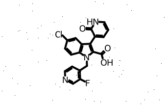 O=C(O)c1c(-c2ccc[nH]c2=O)c2cc(Cl)ccc2n1Cc1ccncc1F